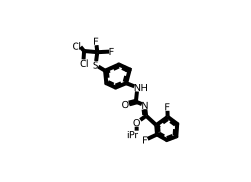 CC(C)O/C(=N\C(=O)Nc1ccc(SC(F)(F)C(Cl)Cl)cc1)c1c(F)cccc1F